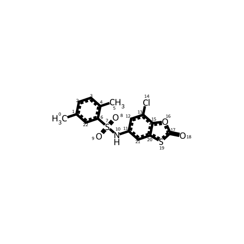 Cc1ccc(C)c(S(=O)(=O)Nc2cc(Cl)c3oc(=O)sc3c2)c1